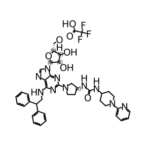 O=C(NC1CCN(c2ccccn2)CC1)N[C@@H]1CCN(c2nc(NCC(c3ccccc3)c3ccccc3)c3ncn([C@@H]4O[C@H](CO)[C@@H](O)[C@H]4O)c3n2)C1.O=C(O)C(F)(F)F